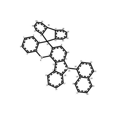 c1ccc2c(c1)Sc1c(ccc3c1c1ccccc1n3-c1cccc3ccccc13)C21c2ccccc2-c2ccccc21